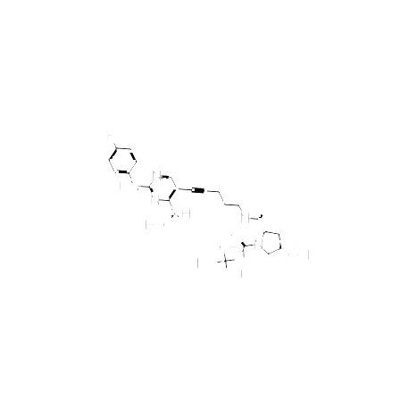 CNc1nc(Nc2ccc(F)cc2)ncc1C#CCCCNC(=O)[C@@H]1C[C@H](O)CN1C(=O)OC(C)(C)C